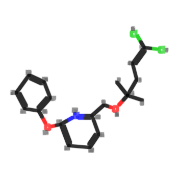 CC(C)(CC=C(Cl)Cl)OCc1cccc(Oc2ccccc2)n1